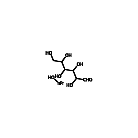 CCCO.O=CC(O)C(O)C(O)C(O)CO